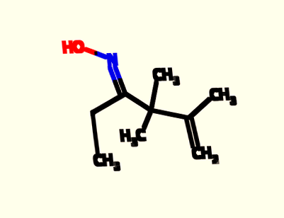 C=C(C)C(C)(C)/C(CC)=N/O